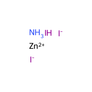 I.N.[I-].[I-].[Zn+2]